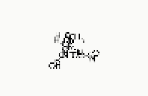 CC(C)(C)OC(=O)N1CCC(Oc2ccc(-c3cnc4ccccc4c3)cn2)CC1Oc1ccc(-c2cnc3ccccc3c2)cn1